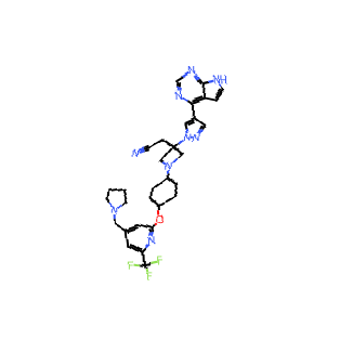 N#CCC1(n2cc(-c3ncnc4[nH]ccc34)cn2)CN(C2CCC(Oc3cc(CN4CCCC4)cc(C(F)(F)F)n3)CC2)C1